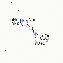 CCCCCCCCCCCCCCN(CCCC(CCCCCCCC)C(=O)O)CCC1CCN(C(=O)CN(CCCCCCCCC)CCN(CCCCCCCCC)CCCCCCCCC)CC1